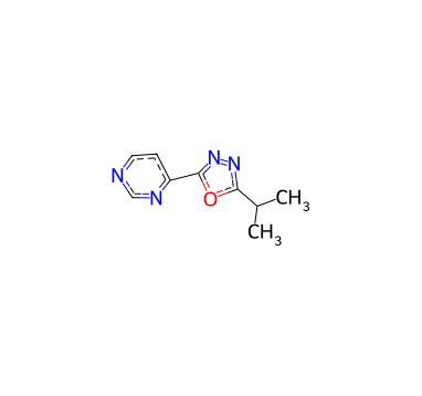 CC(C)c1nnc(-c2ccncn2)o1